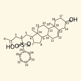 CC(O)CC(CC1CCC2C3CC=C4CC(O)CCC4(C)C3CCC12C)S(=O)(=O)c1ccccc1